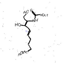 CCCCCCCCCCCCC/C=C/C(O)C(CO)NC(=O)CCCCCCCC